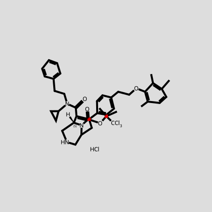 Cc1ccc(C)c(OCCc2ccc(C3=C(C(=O)N(CCc4ccccc4)C4CC4)[C@H]4CNCC(C3)N4C(=O)OC(C)(C)C(Cl)(Cl)Cl)cc2)c1C.Cl